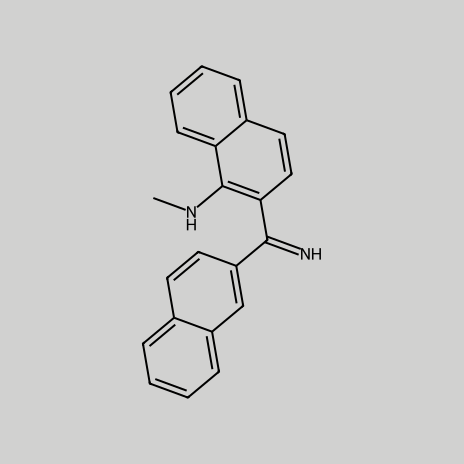 CNc1c(C(=N)c2ccc3ccccc3c2)ccc2ccccc12